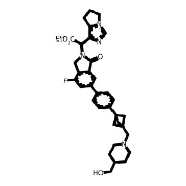 CCOC(=O)C(c1ncn2c1CCC2)N1Cc2c(F)cc(-c3ccc(C45CC(CN6CCC(CO)CC6)(C4)C5)cc3)cc2C1=O